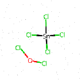 ClOCl.[Cl][Sn]([Cl])([Cl])[Cl]